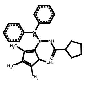 CC1=C(C)C(C)[C]([Ti]([NH]C(=O)C2CCCC2)[SiH](c2ccccc2)c2ccccc2)=C1C